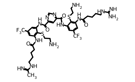 CC(=N)NCCCCC(=O)Nc1cc(C(F)(F)F)cc(NC(=O)c2cc(C(=O)Nc3cc(C(F)(F)F)cc(NC(=O)CCCCNC(=N)N)c3SCCN)ncn2)c1SCCN